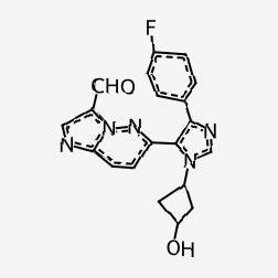 O=Cc1cnc2ccc(-c3c(-c4ccc(F)cc4)ncn3C3CC(O)C3)nn12